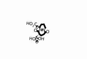 O=C(O)O[C@H]1CCCN2C(=O)CC[C@H](CP(=O)(O)O)C(=O)N12